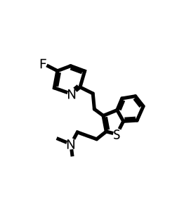 CN(C)CCc1sc2ccccc2c1CCc1ccc(F)cn1